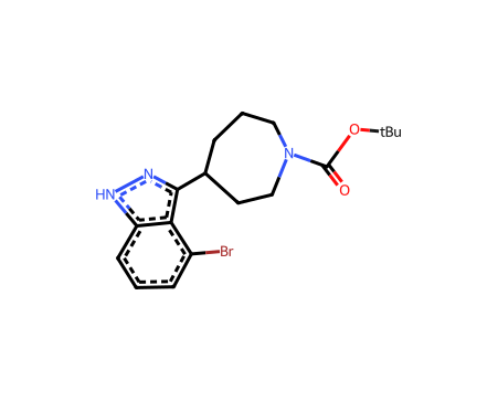 CC(C)(C)OC(=O)N1CCCC(c2n[nH]c3cccc(Br)c23)CC1